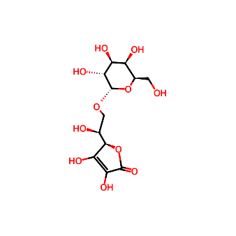 O=C1O[C@H]([C@@H](O)CO[C@H]2O[C@H](CO)[C@H](O)[C@H](O)[C@H]2O)C(O)=C1O